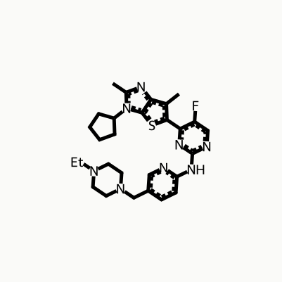 CCN1CCN(Cc2ccc(Nc3ncc(F)c(-c4sc5c(nc(C)n5C5CCCC5)c4C)n3)nc2)CC1